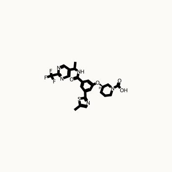 Cc1cnc(-c2cc(O[C@@H]3CCCN(C(=O)O)C3)cc(C(=O)NC(C)c3cnc(C(F)(F)F)nc3)c2)s1